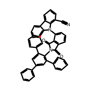 N#Cc1cccc2c3ccccc3n(-c3cccc4c3C(=O)N(c3c(-c5ccccc5)cc(-c5ccccc5)cc3-c3ccccc3)C4=O)c12